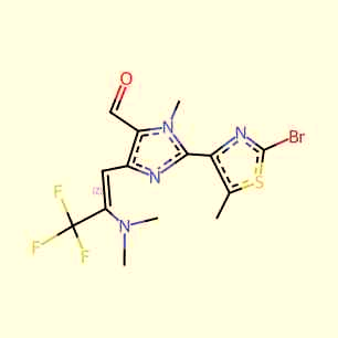 Cc1sc(Br)nc1-c1nc(/C=C(\N(C)C)C(F)(F)F)c(C=O)n1C